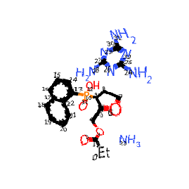 CCC(=O)OCC1OCCC1P(=O)(O)c1cccc2ccccc12.N.Nc1nc(N)nc(N)n1